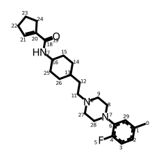 Cc1ccc(F)c(N2CCN(CCC3CCC(NC(=O)C4=CCCC4)CC3)CC2)c1